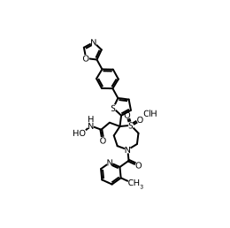 Cc1cccnc1C(=O)N1CCC(CC(=O)NO)(c2ccc(-c3ccc(-c4cnco4)cc3)s2)S(=O)(=O)CC1.Cl